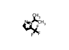 CC(C)n1nc[c]c1C(F)(F)F